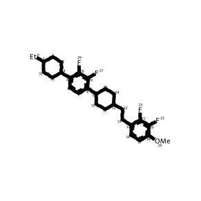 CCC1CCC(c2ccc(C3CCC(CCc4ccc(OC)c(F)c4F)CC3)c(F)c2F)CC1